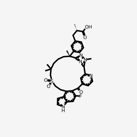 C[C@@H](Cc1cccc([C@@]2(C)CCCC(C)(C)CS(=O)(=O)CCc3c(c(F)cc4[nH]ccc34)C(=O)c3ccnc(c3)-c3nc2nn3C)c1)C(=O)O